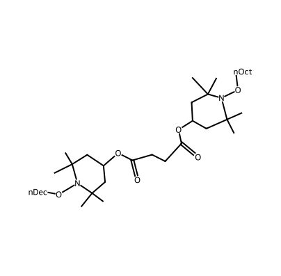 CCCCCCCCCCON1C(C)(C)CC(OC(=O)CCC(=O)OC2CC(C)(C)N(OCCCCCCCC)C(C)(C)C2)CC1(C)C